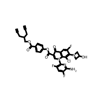 C#CCC(CC#C)COC(=O)c1ccc(OC(=O)c2cn(-c3nc(N)c(F)cc3F)c3c(Cl)c(N4CC(O)C4)c(F)cc3c2=O)cc1